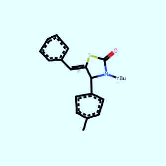 CCCCN1C(=O)S/C(=C\c2ccccc2)C1c1ccc(C)cc1